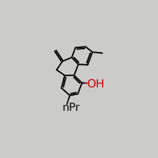 C=C1Cc2cc(CCC)cc(O)c2-c2cc(C)ccc21